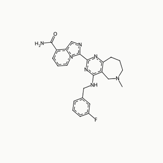 CN1CCCc2nc(-c3ncc4c(C(N)=O)cccn34)nc(NCc3cccc(F)c3)c2C1